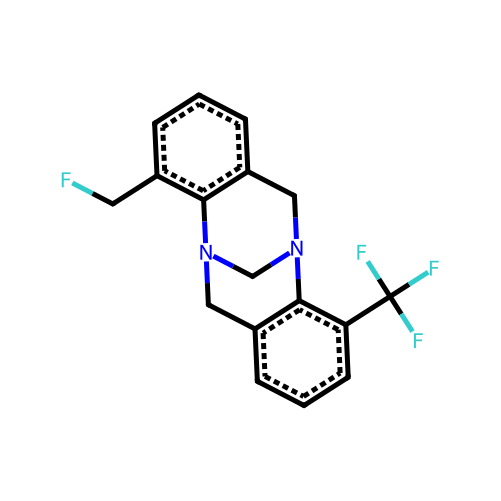 FCc1cccc2c1N1Cc3cccc(C(F)(F)F)c3N(C2)C1